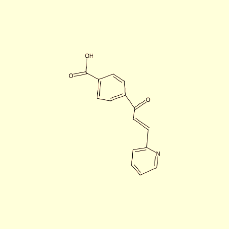 O=C(O)c1ccc(C(=O)C=Cc2ccccn2)cc1